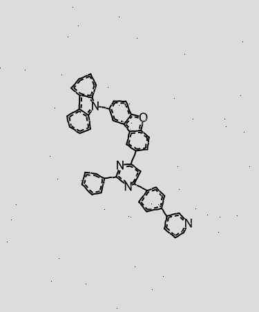 c1ccc(-c2nc(-c3ccc(-c4cccnc4)cc3)cc(-c3ccc4oc5ccc(-n6c7ccccc7c7ccccc76)cc5c4c3)n2)cc1